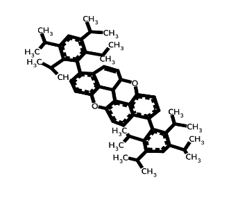 CC(C)c1cc(C(C)C)c(C(C)C)c(-c2ccc3c4c2C=CC2Oc5ccc(-c6c(C(C)C)c(C(C)C)cc(C(C)C)c6C(C)C)c6ccc(c(c56)C42)O3)c1C(C)C